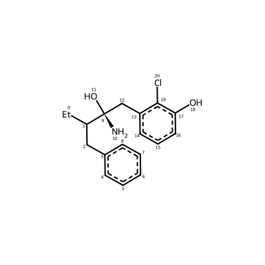 CCC(Cc1ccccc1)[C@](N)(O)Cc1cccc(O)c1Cl